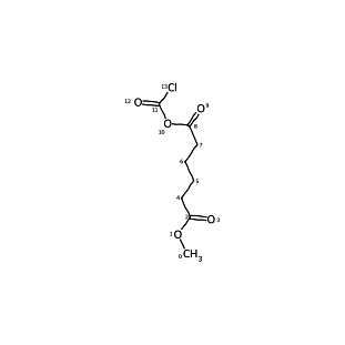 COC(=O)CCCCC(=O)OC(=O)Cl